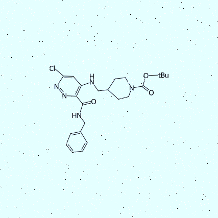 CC(C)(C)OC(=O)N1CCC(CNc2cc(Cl)nnc2C(=O)NCc2ccccc2)CC1